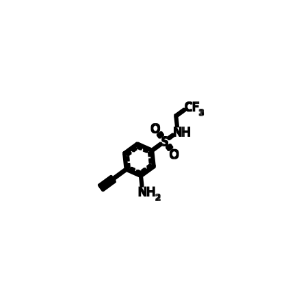 C#Cc1ccc(S(=O)(=O)NCC(F)(F)F)cc1N